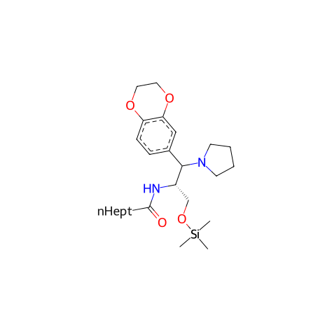 CCCCCCCC(=O)N[C@@H](CO[Si](C)(C)C)C(c1ccc2c(c1)OCCO2)N1CCCC1